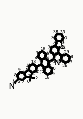 CC1(C)c2cc(C#N)ccc2-c2ccc(-c3c4ccccc4c(-c4nc5ccccc5c5c4ccc4c6ccccc6sc45)c4ccccc34)cc21